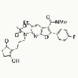 CCc1cc2c(C(=O)NC)c(-c3ccc(F)cc3)oc2nc1N(CCCC1=C(O)CCC1=O)S(C)(=O)=O